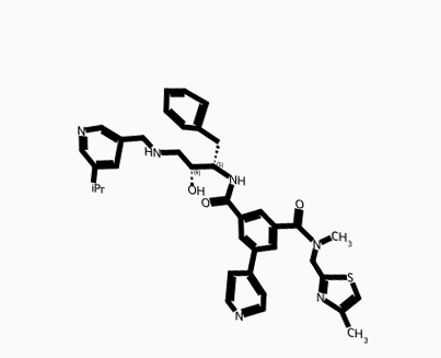 Cc1csc(CN(C)C(=O)c2cc(C(=O)N[C@@H](Cc3ccccc3)[C@H](O)CNCc3cncc(C(C)C)c3)cc(-c3ccncc3)c2)n1